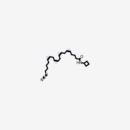 [N-]=[N+]=NCCCC/C=C\C/C=C\C/C=C\C/C=C\CCCC(=O)NC1CCC1